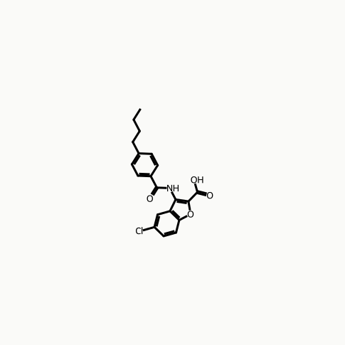 CCCCc1ccc(C(=O)Nc2c(C(=O)O)oc3ccc(Cl)cc23)cc1